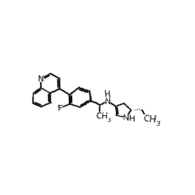 CC[C@H]1CC(NC(C)c2ccc(-c3ccnc4ccccc34)c(F)c2)=CN1